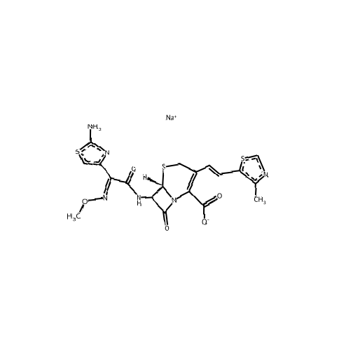 CON=C(C(=O)NC1C(=O)N2C(C(=O)[O-])=C(C=Cc3scnc3C)CS[C@@H]12)c1csc(N)n1.[Na+]